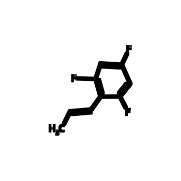 CC=Cc1c(F)cc(F)cc1F